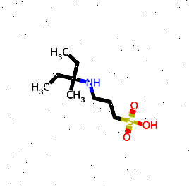 CCC(C)(CC)NCCCS(=O)(=O)O